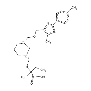 CCC(C)(OC[C@@H]1CCC[C@H](COCc2nc(-c3ccc(C)cc3)oc2C)C1)C(=O)O